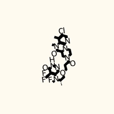 Cc1c(Cl)cnc2c1N(C)C(=O)C1CN(C(=O)CCOC[C@H](C)N(C)c3cn[nH]c(=O)c3C(F)(F)F)CCN21